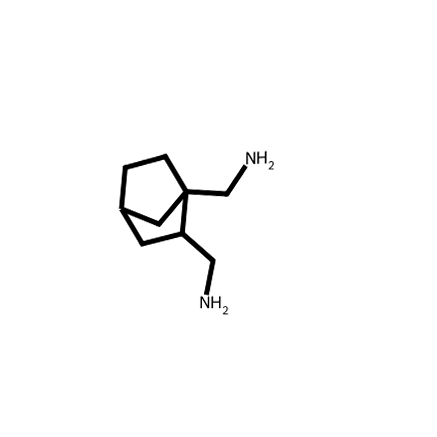 NCC1CC2CCC1(CN)C2